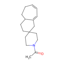 CC(=O)N1CCC2(CCC3CCC=CC=C3C2)CC1